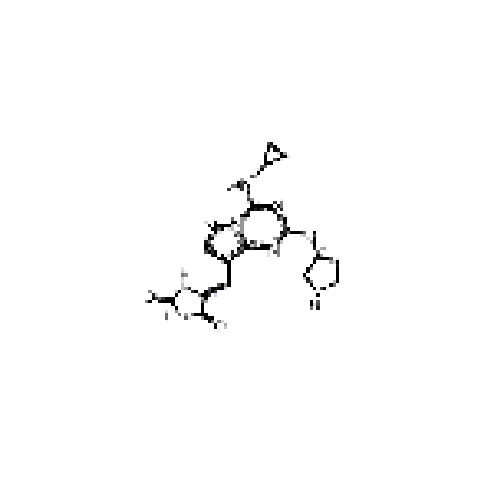 O=C1NC(=O)/C(=C/c2cnn3c(NC4CC4)nc(O[C@H]4CCNC4)nc23)N1